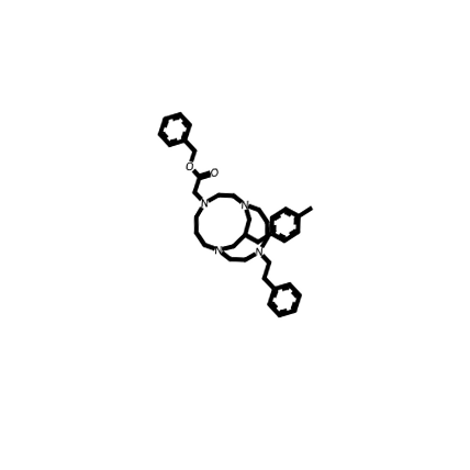 Cc1ccc(CC2CN3CCCN(CC(=O)OCc4ccccc4)CCN(CCCN(CCc4ccccc4)CC3)C2)cc1